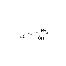 [CH2]CCCC(N)O